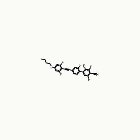 CCCCOc1cc(F)c(C#Cc2ccc(-c3cc(F)c(C#N)c(F)c3F)c(F)c2)c(F)c1